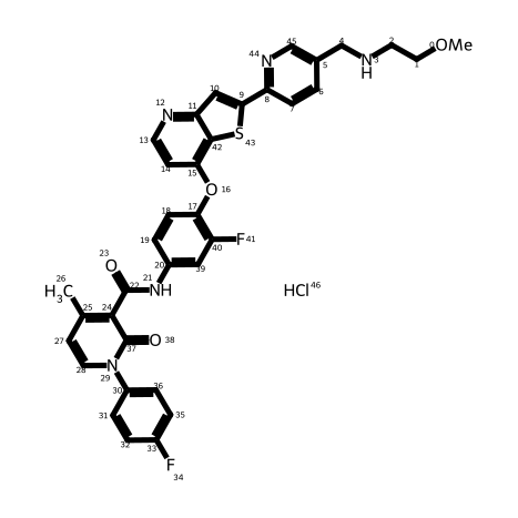 COCCNCc1ccc(-c2cc3nccc(Oc4ccc(NC(=O)c5c(C)ccn(-c6ccc(F)cc6)c5=O)cc4F)c3s2)nc1.Cl